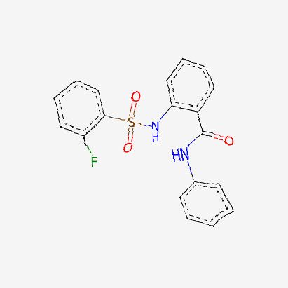 O=C(Nc1ccccc1)c1ccccc1NS(=O)(=O)c1ccccc1F